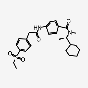 CCS(=O)(=O)c1ccc(CC(=O)Nc2ccc(C(=O)N(C)[C@H](C)C3CCCCC3)cc2)cc1